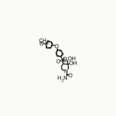 COc1ccc(Oc2ccc(S(=O)(=O)C3CCN(C(N)=O)CC3(O)C(=O)O)cc2)cc1